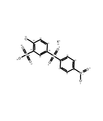 O=[N+]([O-])c1ccc(S(=O)(=O)c2ccc(Cl)c(S(=O)(=O)[O-])c2)cc1.[K+]